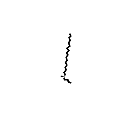 CC=CCN(C)CCCCCCCCCCCCCCCCCC